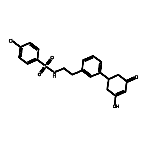 O=C1C=C(O)CC(c2cccc(CCNS(=O)(=O)c3ccc(Cl)cc3)c2)C1